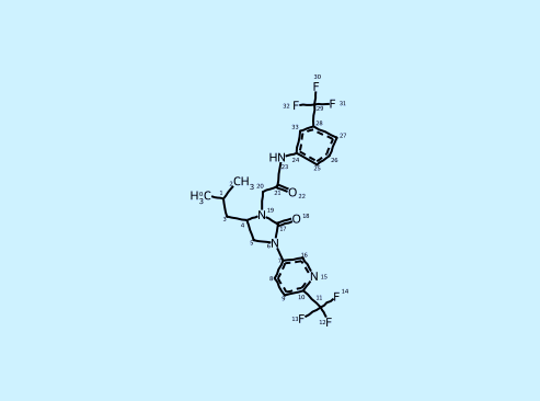 CC(C)CC1CN(c2ccc(C(F)(F)F)nc2)C(=O)N1CC(=O)Nc1cccc(C(F)(F)F)c1